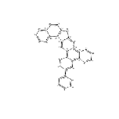 c1ccc(-c2ccc3c(c2)c2ccccc2c2cc4oc5ccc6ccccc6c5c4cc32)cc1